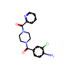 Nc1ccc(C(=O)N2CCN(C(=O)c3ccccn3)CC2)cc1Cl